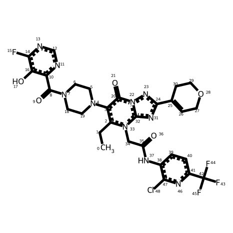 CCc1c(N2CCN(C(=O)c3ncnc(F)c3O)CC2)c(=O)n2nc(C3=CCOCC3)nc2n1CC(=O)Nc1ccc(C(F)(F)F)nc1Cl